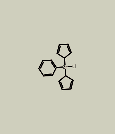 [Cl][Zr]([c]1ccccc1)([CH]1C=CC=C1)[CH]1C=CC=C1